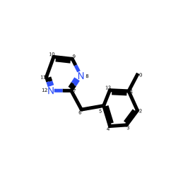 Cc1cccc(Cc2ncccn2)c1